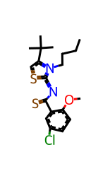 CCCCn1c(C(C)(C)C)csc1=NC(=S)c1cc(Cl)ccc1OC